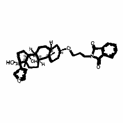 C[C@]12CC[C@H](OCCCN3C(=O)c4ccccc4C3=O)C[C@H]1CC[C@@H]1[C@@H]2CC[C@]2(C)[C@@](O)(c3ccoc3)CC[C@]12O